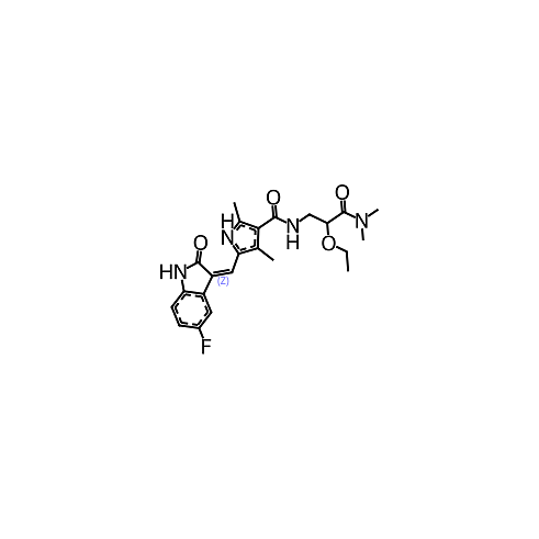 CCOC(CNC(=O)c1c(C)[nH]c(/C=C2\C(=O)Nc3ccc(F)cc32)c1C)C(=O)N(C)C